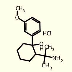 COc1cccc(C2(O)CCCCC2C(C)(C)N)c1.Cl